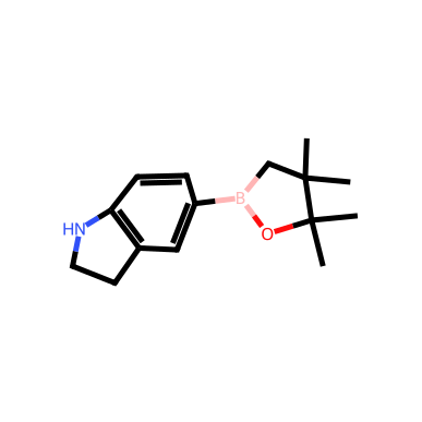 CC1(C)CB(c2ccc3c(c2)CCN3)OC1(C)C